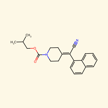 CC(C)COC(=O)N1CCC(=C(C#N)c2cccc3ccccc23)CC1